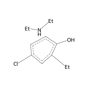 CCNCC.CCc1cc(Cl)ccc1O